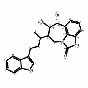 CC(CCc1c[nH]c2ccccc12)C1Cn2c(=O)[nH]c3cccc(c32)[C@@H](O)[C@@H]1N